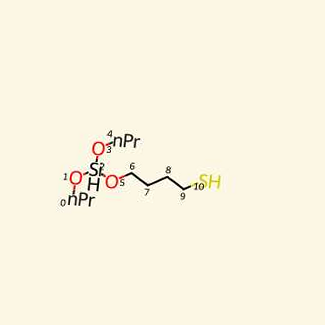 CCCO[SiH](OCCC)OCCCCS